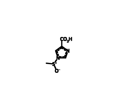 C[S+]([O-])n1cnc(C(=O)O)c1